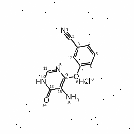 Cl.N#Cc1cccc(Oc2nc[nH]c(=O)c2N)c1